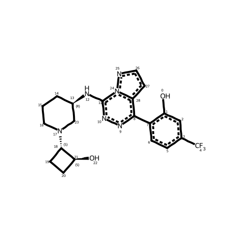 Oc1cc(C(F)(F)F)ccc1-c1nnc(N[C@@H]2CCCN([C@H]3CC[C@@H]3O)C2)n2nccc12